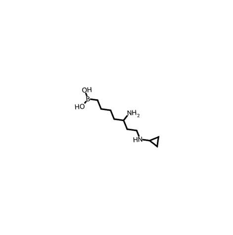 NC(CCCCB(O)O)CCNC1CC1